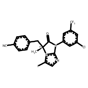 C[C@@]1(Cc2ccc(C#N)cc2)C(=O)N(c2cc(Cl)cc(C(F)(F)F)c2)c2ncc(I)n21